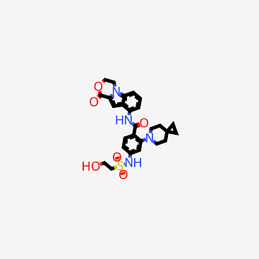 O=C(Nc1cccc2c1cc1n2CCOC1=O)c1ccc(NS(=O)(=O)CCO)cc1N1CCC2(CC1)CC2